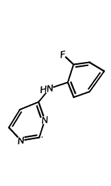 Fc1ccccc1Nc1ccn[c]n1